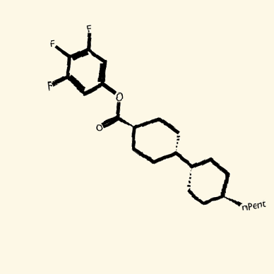 CCCCC[C@H]1CC[C@H]([C@H]2CC[C@H](C(=O)Oc3cc(F)c(F)c(F)c3)CC2)CC1